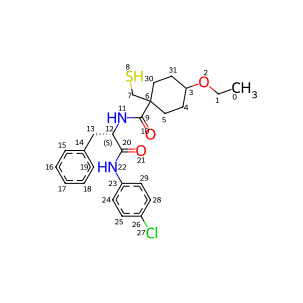 CCOC1CCC(CS)(C(=O)N[C@@H](Cc2ccccc2)C(=O)Nc2ccc(Cl)cc2)CC1